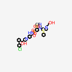 O=C(NS(=O)(=O)c1ccc(NC(CSc2ccccc2)C[C@@H]2CCCN2CCCO)c(S(=O)(=O)C(F)(F)F)c1)c1ccc(N2CCC(C(O)c3ccccc3-c3ccc(Cl)cc3)CC2)cc1